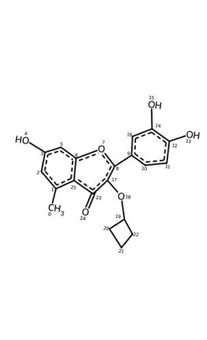 Cc1cc(O)cc2oc(-c3ccc(O)c(O)c3)c(OC3CCC3)c(=O)c12